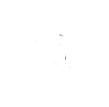 CC(C)(C)OC(=O)N1[C@@H]2CC2C[C@H]1c1ncc[nH]1